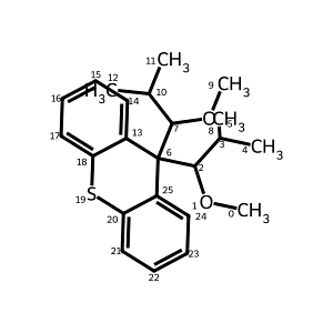 COC(C(C)C)C1(C(OC)C(C)C)c2ccccc2Sc2ccccc21